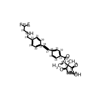 CNC(=O)[C@@](C)(C(=O)NO)N(C)C(=O)c1ccc(C#Cc2ccc(CNCC(F)F)cc2)cc1